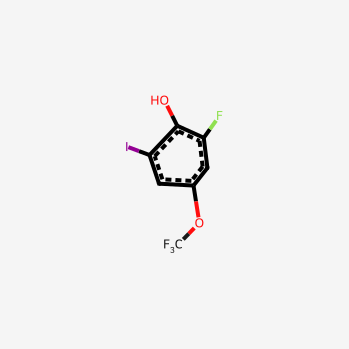 Oc1c(F)cc(OC(F)(F)F)cc1I